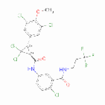 COc1c(Cl)cc([C@@H]2[C@@H](C(=O)Nc3ccc(Cl)c(C(=O)NCCC(F)(F)F)c3)C2(Cl)Cl)cc1Cl